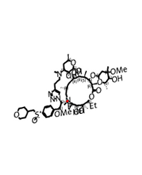 CC[C@H]1OC(=O)[C@H](C)[C@@H](O[C@H]2C[C@@](C)(OC)[C@@H](O)[C@H](C)O2)[C@H](C)[C@@H](O[C@@H]2O[C@H](C)C[C@H](N(C)CCc3cn([C@H](CF)[C@H](OC)c4ccc([S+]([O-])CC5CCOCC5)cc4)nn3)[C@H]2O)[C@](C)(O)C[C@@H](C)CN(C)[C@H](C)[C@@H](O)[C@]1(C)O